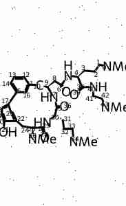 CNCCC[C@H](NC(=O)C[C@@H]1Cc2cccc(c2)-c2ccc(O)c(c2)C[C@H](NC)C(=O)N[C@@H](CCCNC)C(=O)N1)C(=O)NCCNC